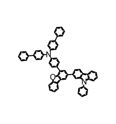 c1ccc(-c2ccc(N(c3ccc(-c4ccccc4)cc3)c3ccc(-c4cc(-c5ccc6c7ccccc7n(-c7ccccc7)c6c5)cc5c4oc4ccccc45)cc3)cc2)cc1